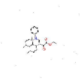 CCOC(=O)C(=O)C1=CN(c2ccccc2)C2(C)C=CC(C)C3=C2C1(C)C=CC3C